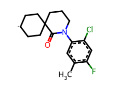 Cc1cc(N2CCCC3(CC[CH]CC3)C2=O)c(Cl)cc1F